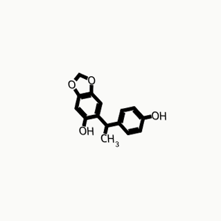 CC(c1ccc(O)cc1)c1cc2c(cc1O)OCO2